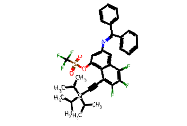 CC(C)[Si](C#Cc1c(F)c(F)c(F)c2cc(N=C(c3ccccc3)c3ccccc3)cc(OS(=O)(=O)C(F)(F)F)c12)(C(C)C)C(C)C